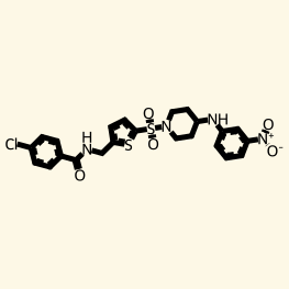 O=C(NCc1ccc(S(=O)(=O)N2CCC(Nc3cccc([N+](=O)[O-])c3)CC2)s1)c1ccc(Cl)cc1